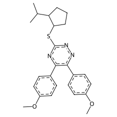 COc1ccc(-c2nnc(SC3CCCC3C(C)C)nc2-c2ccc(OC)cc2)cc1